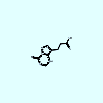 O=C(O)CCc1cnn2c(=O)nc[nH]c12